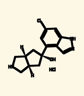 Cl.O[C@]1(c2cc(Cl)cc3[nH]ncc23)C[C@H]2CNC[C@H]2C1